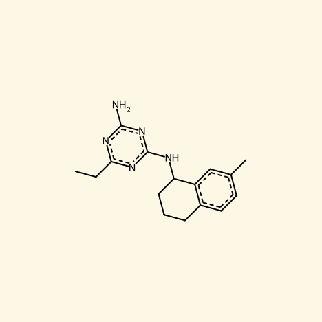 CCc1nc(N)nc(NC2CCCc3ccc(C)cc32)n1